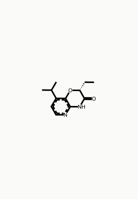 CC[C@H]1Oc2c(C(C)C)ccnc2NC1=O